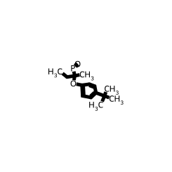 CCC(C)(Oc1ccc(C(C)(C)C)cc1)P=O